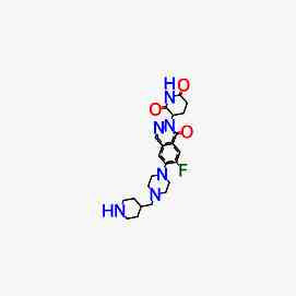 O=C1CCC(n2ncc3cc(N4CCN(CC5CCNCC5)CC4)c(F)cc3c2=O)C(=O)N1